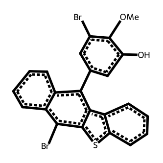 COc1c(O)cc(-c2c3ccccc3c(Br)c3sc4ccccc4c23)cc1Br